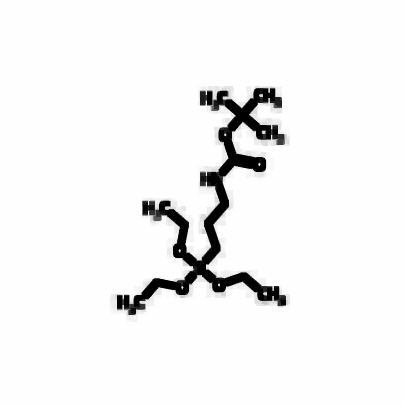 CCO[Si](CCCNC(=O)OC(C)(C)C)(OCC)OCC